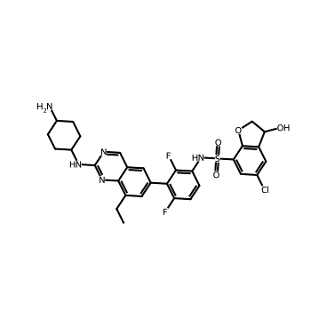 CCc1cc(-c2c(F)ccc(NS(=O)(=O)c3cc(Cl)cc4c3OCC4O)c2F)cc2cnc(NC3CCC(N)CC3)nc12